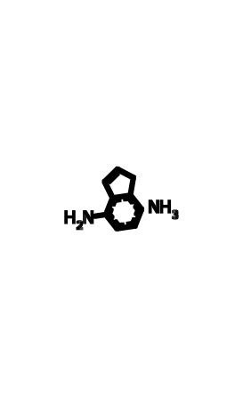 N.Nc1cccc2c1C=CC2